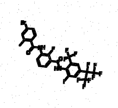 Cc1cc(Br)ccc1C(=O)Nc1cccc(C(=O)Nc2c(I)cc(C(F)(C(F)(F)F)C(F)(F)F)cc2C(F)(F)F)c1F